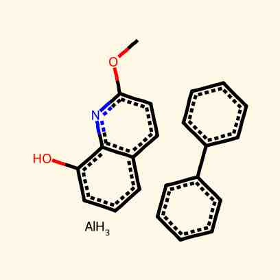 COc1ccc2cccc(O)c2n1.[AlH3].c1ccc(-c2ccccc2)cc1